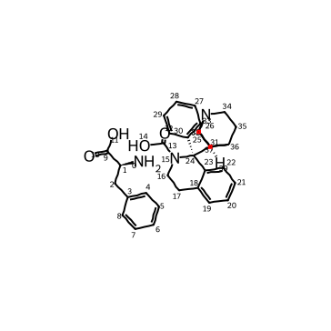 N[C@@H](Cc1ccccc1)C(=O)O.O=C(O)N1CCc2ccccc2[C@]1(c1ccccc1)[C@H]1CN2CCC1CC2